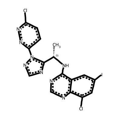 C[C@H](Nc1ncnc2c(Cl)cc(I)cc12)c1ncnn1-c1ccc(Cl)nn1